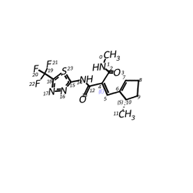 CNC(=O)/C(=C\C1=CCC[C@@H]1C)C(=O)Nc1nnc(C(F)(F)F)s1